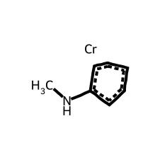 CNc1ccccc1.[Cr]